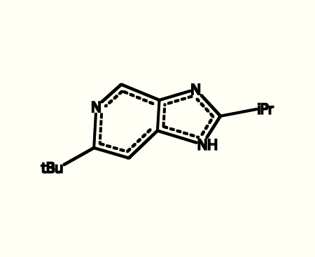 CC(C)c1nc2cnc(C(C)(C)C)cc2[nH]1